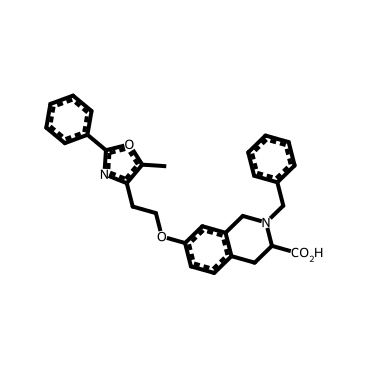 Cc1oc(-c2ccccc2)nc1CCOc1ccc2c(c1)CN(Cc1ccccc1)C(C(=O)O)C2